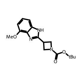 COc1cccc2[nH]c(C3CN(C(=O)OC(C)(C)C)C3)nc12